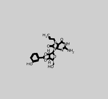 C=CCn1c(=O)n(C2O[C@H](CO)[C@H]3OC(c4cccc(O)c4)O[C@@H]23)c2nc(N)[nH]c(=O)c21